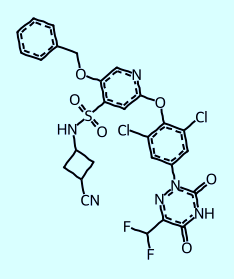 N#CC1CC(NS(=O)(=O)c2cc(Oc3c(Cl)cc(-n4nc(C(F)F)c(=O)[nH]c4=O)cc3Cl)ncc2OCc2ccccc2)C1